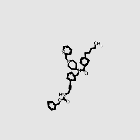 CCCCCc1ccc(C(=O)N(Cc2cccc(C#CCNC(=O)OCc3ccccc3)c2)C2CCN(Cc3ccccn3)CC2)cc1